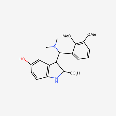 COc1cccc(C(C2c3cc(O)ccc3NC2C(=O)O)N(C)C)c1OC